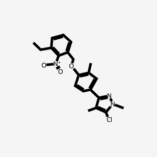 CCc1cccc(COc2ccc(-c3nn(C)c(Cl)c3C)cc2C)c1[N+](=O)[O-]